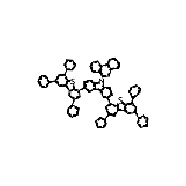 c1ccc(-c2cc(-c3ccccc3)c3sc4c(-c5ccc6c(c5)c5cc(-c7cc(-c8ccccc8)cc8c7sc7c(-c9ccccc9)cc(-c9ccccc9)cc78)ccc5n6-c5cc6ccccc6c6ccccc56)cc(-c5ccccc5)cc4c3c2)cc1